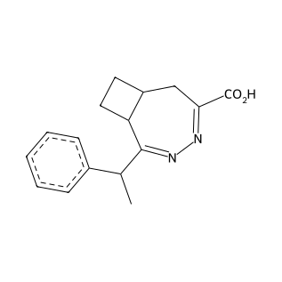 CC(C1=NN=C(C(=O)O)CC2CCC12)c1ccccc1